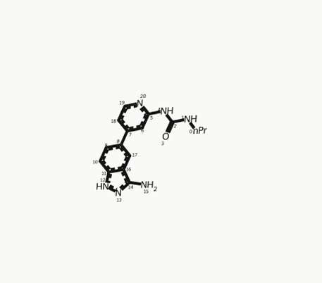 CCCNC(=O)Nc1cc(-c2ccc3[nH]nc(N)c3c2)ccn1